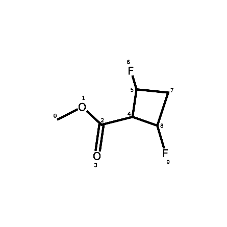 COC(=O)C1C(F)CC1F